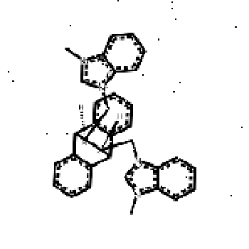 Cn1c[n+](C[C@@H]2C3c4ccccc4C(c4ccccc43)[C@H]2C[n+]2cn(C)c3ccccc32)c2ccccc21